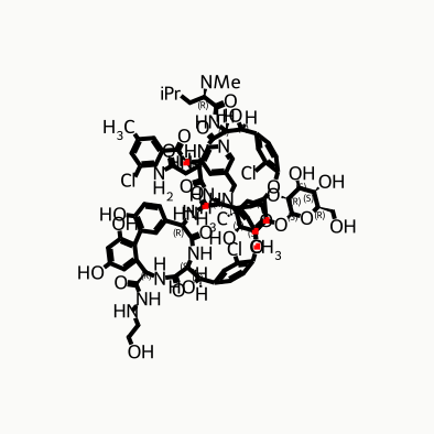 CN[C@H](CC(C)C)C(=O)N[C@H]1C(=O)N[C@@H](CC(N)=O)C(=O)N[C@H]2C(=O)N[C@H]3C(=O)N[C@H](C(=O)N[C@@H](C(=O)NNCCO)c4cc(O)cc(O)c4-c4cc3ccc4O)[C@H](O)c3ccc(c(Cl)c3)Oc3cc2cc(c3O[C@@H]2O[C@H](CO)[C@@H](O)[C@H](O)[C@H]2O[C@H]2C[C@](C)(NCc3cncc(NC(=O)c4cc(C)cc(Cl)c4)c3)[C@H](O)[C@H](C)O2)Oc2ccc(cc2Cl)[C@H]1O